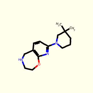 CC1(C)CCCN(c2ccc3c(n2)OCCNC3)C1